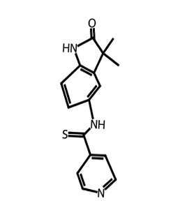 CC1(C)C(=O)Nc2ccc(NC(=S)c3ccncc3)cc21